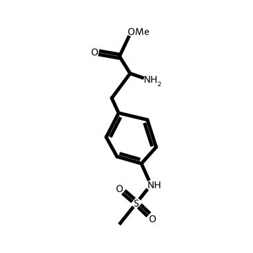 COC(=O)C(N)Cc1ccc(NS(C)(=O)=O)cc1